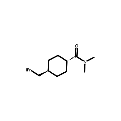 CC(C)C[C@H]1CC[C@H](C(=O)N(C)C)CC1